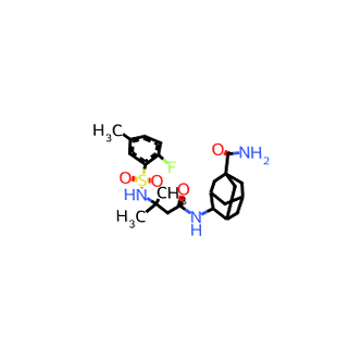 Cc1ccc(F)c(S(=O)(=O)NC(C)(C)CC(=O)NC2C3CC4CC2CC(C(N)=O)(C4)C3)c1